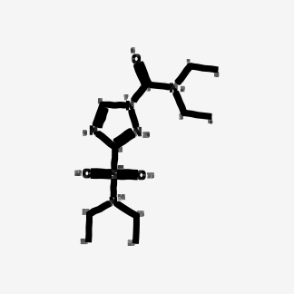 CCN(CC)C(=O)n1cnc(S(=O)(=O)N(CC)CC)n1